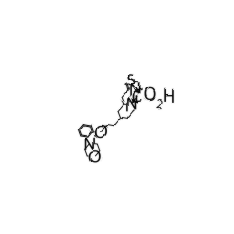 O=C(O)N1CCC(CCOc2ccccc2N2CCOCC2)CC1Cc1cscn1